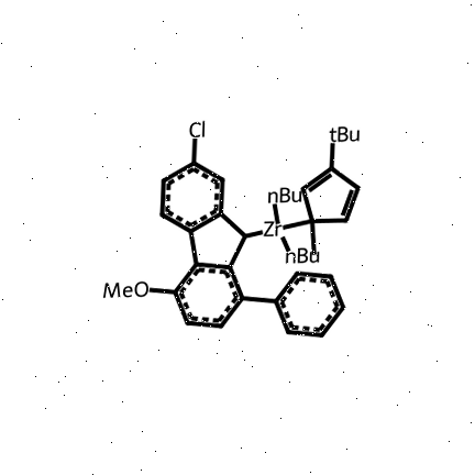 CCC[CH2][Zr]([CH2]CCC)([CH]1c2cc(Cl)ccc2-c2c(OC)ccc(-c3ccccc3)c21)[C]1(C)C=CC(C(C)(C)C)=C1